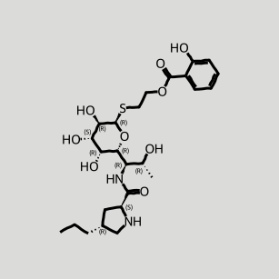 CCC[C@H]1CN[C@H](C(=O)N[C@@H]([C@H]2O[C@H](SCCOC(=O)c3ccccc3O)[C@H](O)[C@@H](O)[C@H]2O)[C@@H](C)O)C1